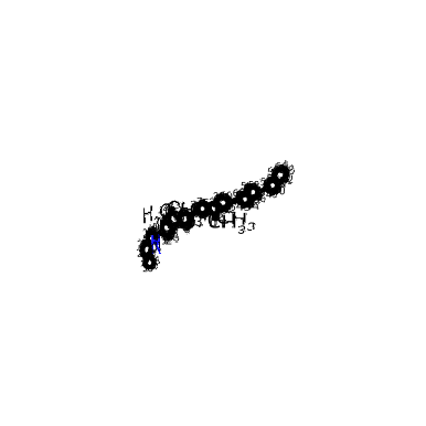 CC1(C)c2cc(-c3ccc4c(c3)C(C)(C)c3cc(-c5ccc6ccc7ccccc7c6n5)ccc3-4)ccc2-c2ccc(-c3ccc4cc(-c5ccc6ccccc6c5)ccc4c3)cc21